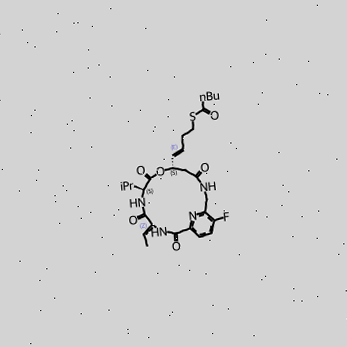 C/C=C1\NC(=O)c2ccc(F)c(n2)CNC(=O)C[C@@H](/C=C/CCSC(=O)CCCC)OC(=O)[C@H](C(C)C)NC1=O